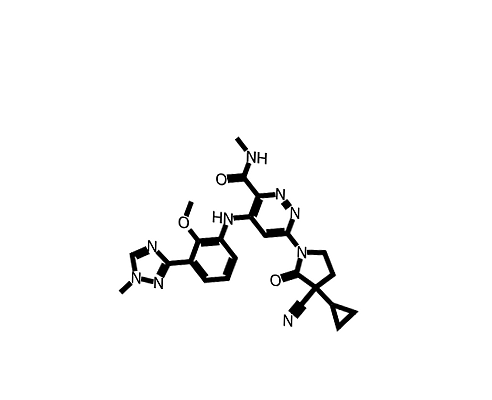 CNC(=O)c1nnc(N2CCC(C#N)(C3CC3)C2=O)cc1Nc1cccc(-c2ncn(C)n2)c1OC